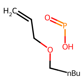 C=CCOCCCCC.O=PO